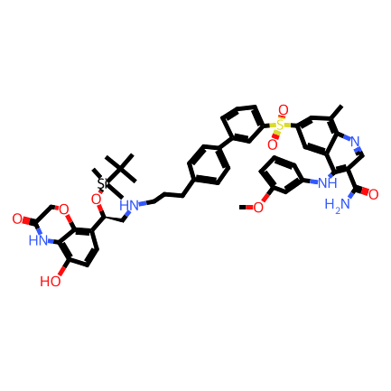 COc1cccc(Nc2c(C(N)=O)cnc3c(C)cc(S(=O)(=O)c4cccc(-c5ccc(CCCNC[C@H](O[Si](C)(C)C(C)(C)C)c6ccc(O)c7c6OCC(=O)N7)cc5)c4)cc23)c1